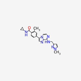 Cc1cc(-c2cnc3c(NCc4ccn(C)n4)nccn23)ccc1C(=O)NC1CC1